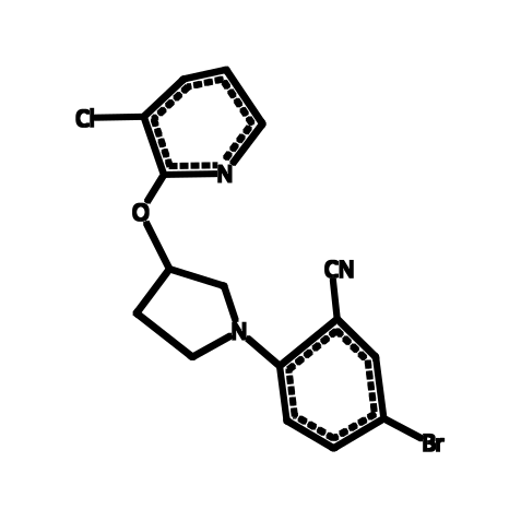 N#Cc1cc(Br)ccc1N1CCC(Oc2ncccc2Cl)C1